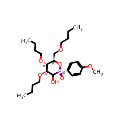 CCCCOC[C@H]1O[P@@](=O)(c2ccc(OC)cc2)C(O)[C@@H](OCCCC)[C@@H]1OCCCC